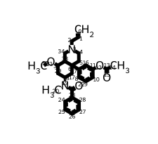 C=CCN1CCC2(c3cccc(OC(C)=O)c3)C[C@@H](N(C)C(=O)c3ccccc3)CC(OC)C2C1